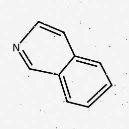 [c]1c[c]c2cnccc2c1